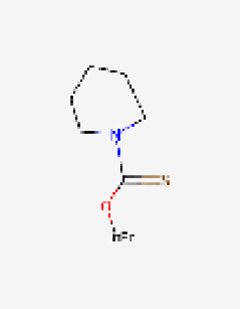 CCCOC(=S)N1CCCCC1